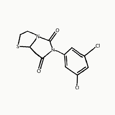 O=C1C2SCCN2C(=O)N1c1cc(Cl)cc(Cl)c1